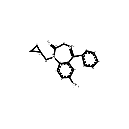 Cc1ccc2c(c1)C(c1ccccc1)=NCC(=O)N2CC1CC1